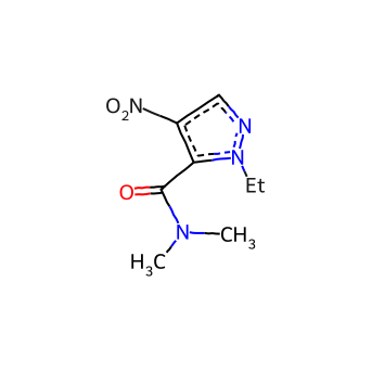 CCn1ncc([N+](=O)[O-])c1C(=O)N(C)C